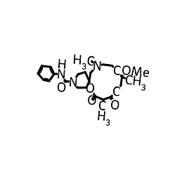 CO[C@]1(C)CCCN(C)CC2(CCN(C(=O)Nc3ccccc3)CC2)OC(=O)C(C)C(=O)CC1